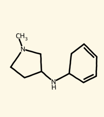 CN1CCC(NC2C=CC=CC2)C1